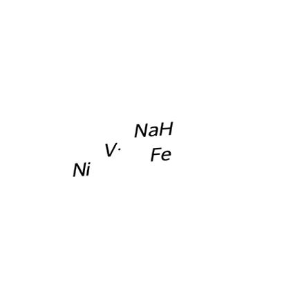 [Fe].[NaH].[Ni].[V]